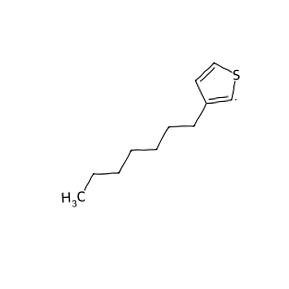 CCCCCCCc1[c]scc1